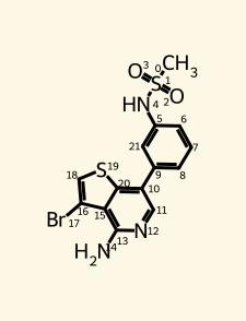 CS(=O)(=O)Nc1cccc(-c2cnc(N)c3c(Br)csc23)c1